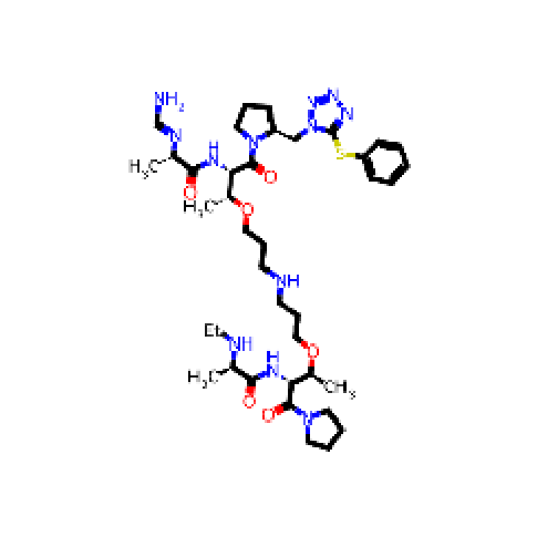 CCN[C@H](C)C(=O)N[C@@H](C(=O)N1CCCC1)[C@H](C)OCCCNCCCO[C@H](C)[C@H](NC(=O)[C@H](C)N=CN)C(=O)N1CCC[C@H]1Cn1nnnc1Sc1ccccc1